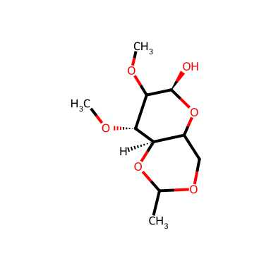 COC1[C@@H](OC)[C@@H]2OC(C)OCC2O[C@@H]1O